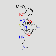 COc1cccc(C(=O)Nc2nc(C(=O)NCCN(C)C)cs2)c1O.O=C(O)/C=C\C(=O)O